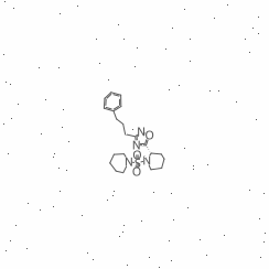 O=S(=O)(N1CCCCC1)N1CCCC[C@H]1c1nc(CCCc2ccccc2)no1